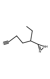 [C]#CCCC(CC)C1=NN1